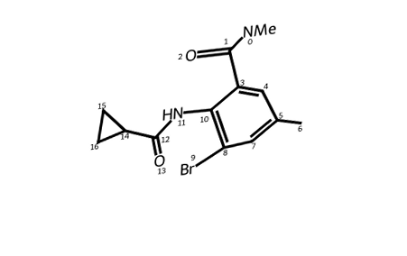 CNC(=O)c1cc(C)cc(Br)c1NC(=O)C1CC1